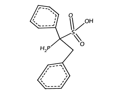 O=S(=O)(O)C(P)(Cc1ccccc1)c1ccccc1